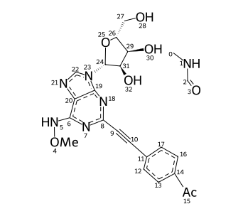 CNC=O.CONc1nc(C#Cc2ccc(C(C)=O)cc2)nc2c1ncn2[C@@H]1O[C@H](CO)[C@@H](O)[C@H]1O